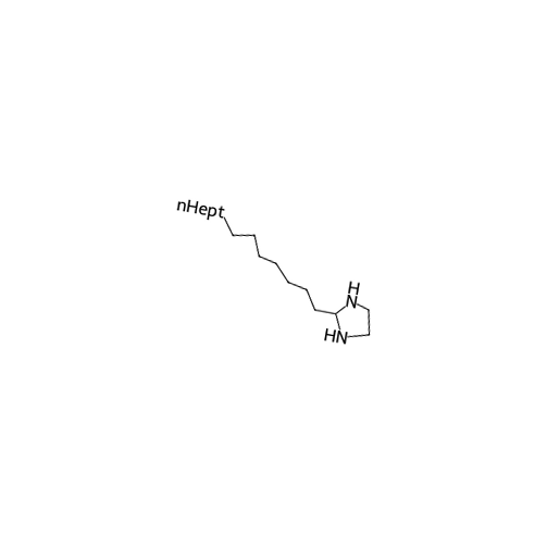 CCCCCCCCCCCCCCC1NCCN1